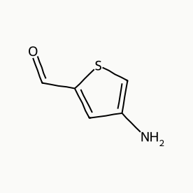 Nc1csc(C=O)c1